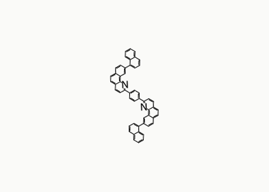 c1ccc2c(-c3ccc4ccc5ccc(-c6ccc(-c7ccc8ccc9ccc(-c%10cccc%11ccccc%10%11)cc9c8n7)cc6)nc5c4c3)cccc2c1